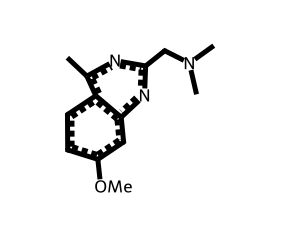 COc1ccc2c(C)nc(CN(C)C)nc2c1